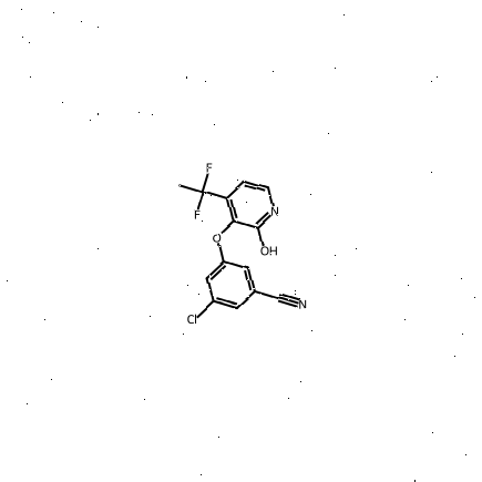 CC(F)(F)c1ccnc(O)c1Oc1cc(Cl)cc(C#N)c1